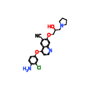 N#Cc1cc2c(Oc3ccc(N)c(Cl)c3)ccnc2cc1OC[C@@H](O)CN1CCCC1